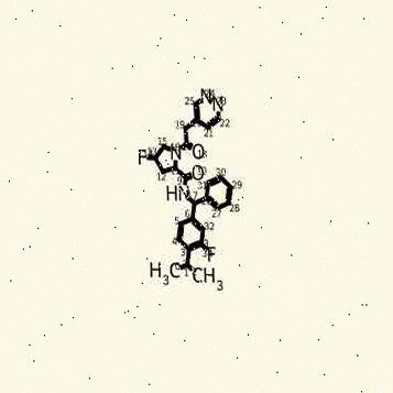 CC(C)c1ccc(C(NC(=O)C2CC(F)CN2C(=O)Cc2ccnnc2)c2ccccc2)cc1F